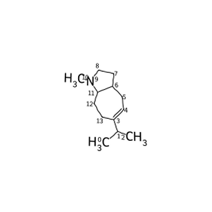 CC(C)C1=CCC2CCN(C)C2CC1